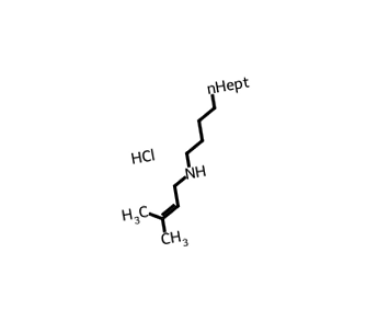 CCCCCCCCCCCNCC=C(C)C.Cl